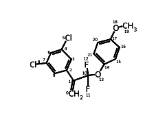 C=C(c1cc(Cl)cc(Cl)c1)C(F)(F)Oc1ccc(OC)cc1